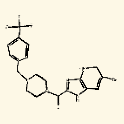 O=C(c1nc2c([nH]1)C=C(Br)CP2)N1CCN(Cc2ccc(C(F)(F)F)cc2)CC1